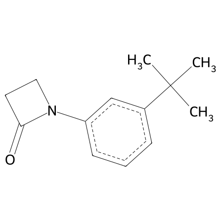 CC(C)(C)c1cccc(N2CCC2=O)c1